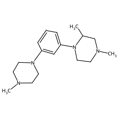 CC1CN(C)CCN1c1c[c]cc(N2CCN(C)CC2)c1